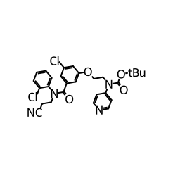 CC(C)(C)OC(=O)N(CCOc1cc(Cl)cc(C(=O)N(CCC#N)c2ccccc2Cl)c1)c1ccncc1